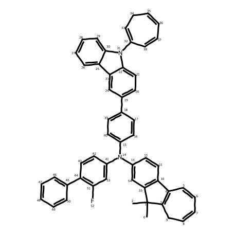 CC1(C)C2=C(C=CC=CC2)c2ccc(N(c3ccc(-c4ccc5c(c4)c4ccccc4n5C4=CCC=CC=C4)cc3)c3ccc(-c4ccccc4)c(F)c3)cc21